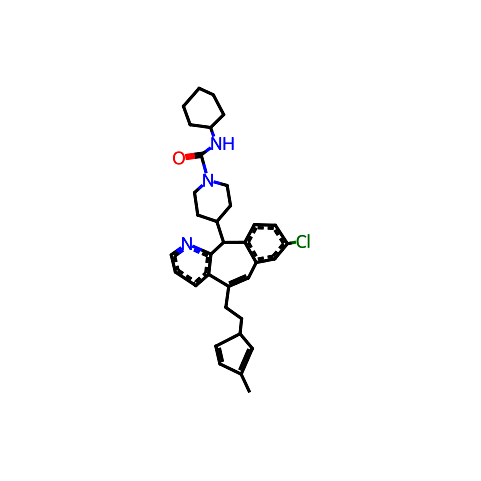 CC1=CC(CCC2=Cc3cc(Cl)ccc3C(C3CCN(C(=O)NC4CCCCC4)CC3)c3ncccc32)C=C1